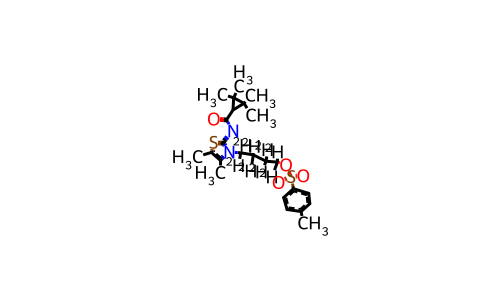 [2H]C([2H])(OS(=O)(=O)c1ccc(C)cc1)C([2H])([2H])C([2H])([2H])C([2H])([2H])n1c(C)c(C)sc1=NC(=O)C1C(C)(C)C1(C)C